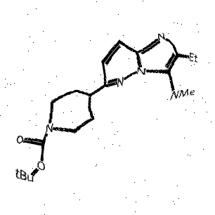 CCc1nc2ccc(C3CCN(C(=O)OC(C)(C)C)CC3)nn2c1NC